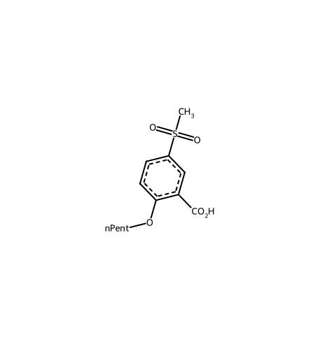 CCCCCOc1ccc(S(C)(=O)=O)cc1C(=O)O